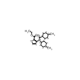 CCOC(=O)c1sccc1N(C(=O)C1CCC(C)CC1)C1CCN(C)CC1